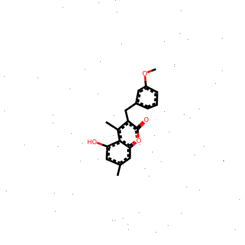 COc1cccc(Cc2c(C)c3c(O)cc(C)cc3oc2=O)c1